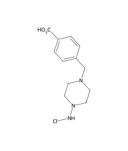 O=C(O)c1ccc(CN2CCN(NCl)CC2)cc1